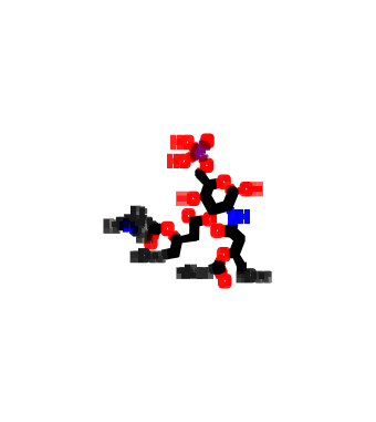 CCCCCCCCCCC[C@H](CC(=O)N[C@H]1[C@@H](OC(=O)C[C@@H](CCCCCCCCCCC)OC(=O)CCCCCCCCC)[C@H](O)[C@@H](COP(=O)(O)O)O[C@@H]1O)OC(=O)CCCCCCCCC.CCN(CC)CC